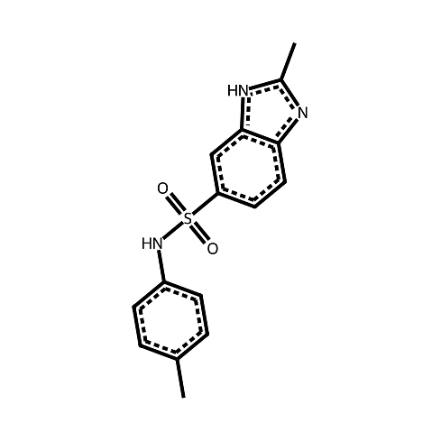 Cc1ccc(NS(=O)(=O)c2ccc3nc(C)[nH]c3c2)cc1